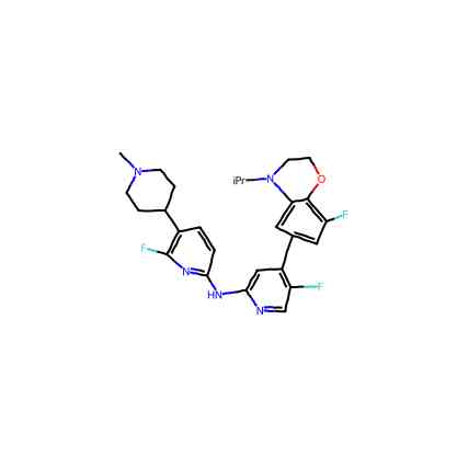 CC(C)N1CCOc2c(F)cc(-c3cc(Nc4ccc(C5CCN(C)CC5)c(F)n4)ncc3F)cc21